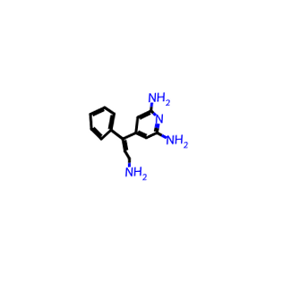 NCC=C(c1ccccc1)c1cc(N)nc(N)c1